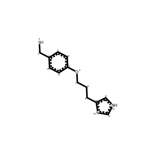 SCc1ccc(OCCCc2c[nH]cn2)cc1